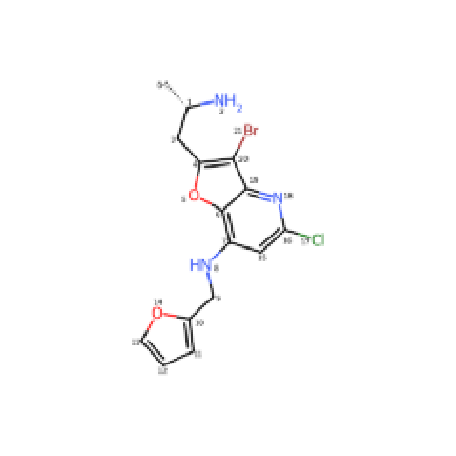 C[C@H](N)Cc1oc2c(NCc3ccco3)cc(Cl)nc2c1Br